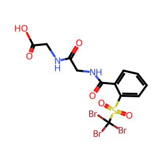 O=C(O)CNC(=O)CNC(=O)c1ccccc1S(=O)(=O)C(Br)(Br)Br